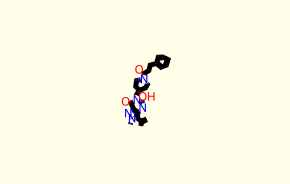 C=C(C)c1c2ncn(CC3(O)CCN(C(=O)CCc4ccccc4)CC3)c(=O)c2nn1C